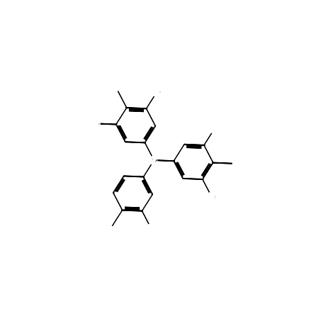 Cc1ccc(N(c2cc(O)c(C)c(O)c2)c2cc(O)c(C)c(O)c2)cc1O